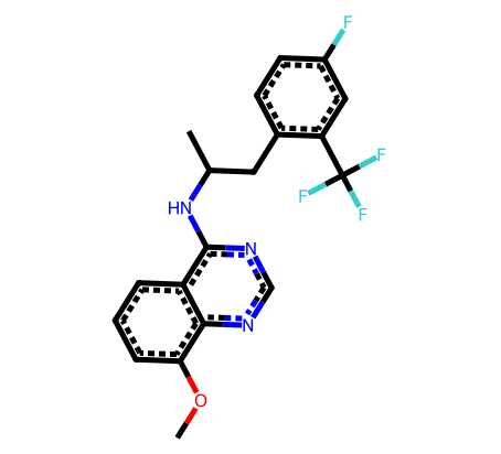 COc1cccc2c(NC(C)Cc3ccc(F)cc3C(F)(F)F)ncnc12